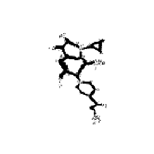 COc1c(N2CCC(=C(Cl)CN)CC2)c(F)cc2c(=O)c(C(C)=O)cn(C3CC3)c12